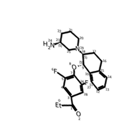 CCC(=O)c1cc(F)c(O[C@H]2c3ccccc3CC[C@@H]2N2CCC[C@H](N)C2)c(F)c1